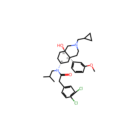 COc1cccc([C@@]23CCN(CC4CC4)C[C@@]2(O)CC[C@@H](N(CC(C)C)C(=O)Cc2ccc(Cl)c(Cl)c2)C3)c1